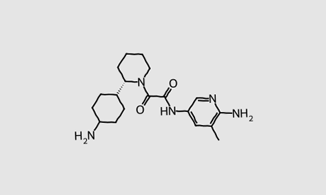 Cc1cc(NC(=O)C(=O)N2CCCC[C@H]2C2CCC(N)CC2)cnc1N